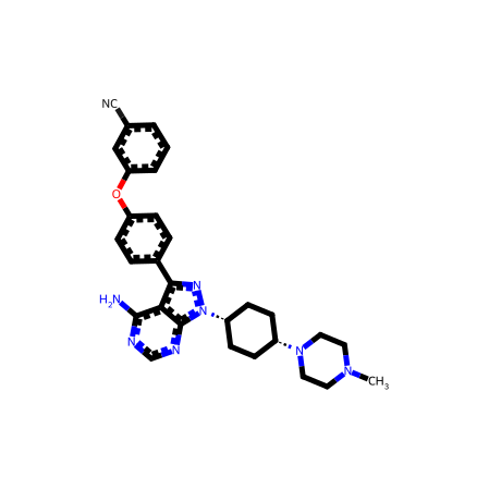 CN1CCN([C@H]2CC[C@@H](n3nc(-c4ccc(Oc5cccc(C#N)c5)cc4)c4c(N)ncnc43)CC2)CC1